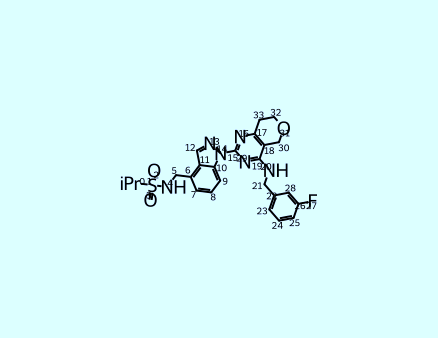 CC(C)S(=O)(=O)NCc1cccc2c1cnn2-c1nc2c(c(NCc3cccc(F)c3)n1)COCC2